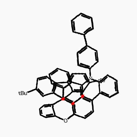 CC(C)(C)c1ccc2c(c1)C1(c3ccccc3Oc3ccc(-c4ccccc4N(c4ccc(-c5ccccc5)cc4)c4cccc5ccccc45)cc31)c1cc(C(C)(C)C)ccc1-2